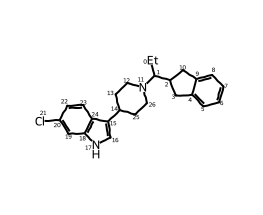 CCC(C1Cc2ccccc2C1)N1CCC(c2c[nH]c3cc(Cl)ccc23)CC1